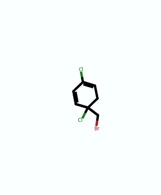 ClC1=CCC(Cl)(CBr)C=C1